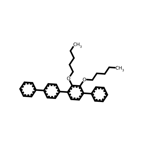 CCCCCOc1c(-c2ccccc2)ccc(-c2ccc(-c3ccccc3)cc2)c1OCCCCC